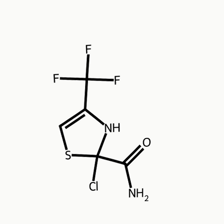 NC(=O)C1(Cl)NC(C(F)(F)F)=CS1